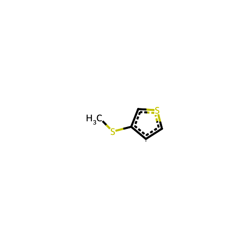 CSc1[c]csc1